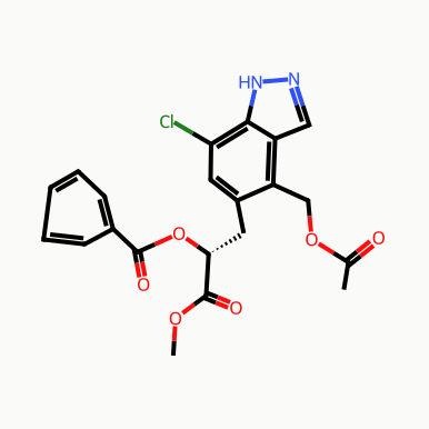 COC(=O)[C@@H](Cc1cc(Cl)c2[nH]ncc2c1COC(C)=O)OC(=O)c1ccccc1